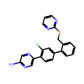 Nc1cnc(-c2ccc(-c3ccccc3CSc3ncccn3)cc2F)cn1